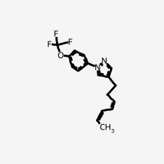 C/C=C\C=C/CCc1cnn(-c2ccc(OC(F)(F)F)cc2)c1